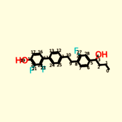 CCCC(O)c1ccc(CCc2ccc(-c3ccc(O)c(F)c3F)cc2)c(F)c1